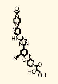 N#Cc1cc(-c2ncnc(Nc3ccc(N4CCN(C5COC5)CC4)nc3)n2)ccc1O[C@H]1CCN(C(=O)C(O)CO)C[C@H]1F